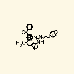 CC(Cc1cc(NC(N)=NCCCN2CCOCC2)on1)c1cccc(C(=O)c2ccccc2)c1